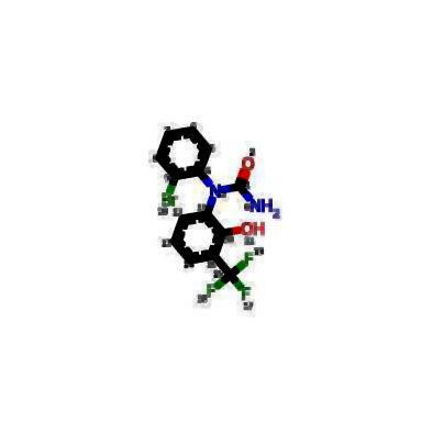 NC(=O)N(c1ccccc1Br)c1cccc(C(F)(F)F)c1O